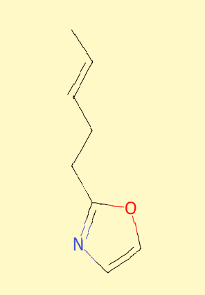 C/C=C/CCc1ncco1